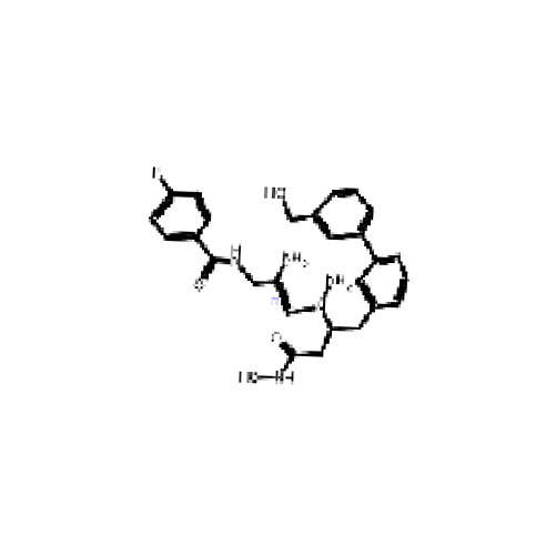 N/C(=C\N(N)C(CC(=O)NO)Cc1cccc(-c2cccc(CO)c2)c1)CNC(=O)c1ccc(F)cc1